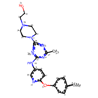 CSc1ccc(Oc2ccc(Nc3nc(C)nc(N4CCN(CCO)CC4)n3)cn2)cc1